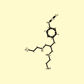 [NH]CCNCC(CNCCN)Cc1ccc(N=C=S)cc1